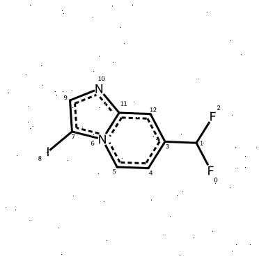 FC(F)c1ccn2c(I)cnc2c1